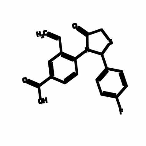 C=Cc1cc(C(=O)O)ccc1N1C(=O)CSC1c1ccc(F)cc1